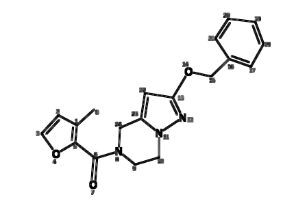 Cc1ccoc1C(=O)N1CCn2nc(OCc3ccccc3)cc2C1